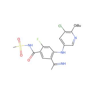 CC(=N)c1cc(C(=O)NS(C)(=O)=O)c(F)cc1Nc1cnc(OCC(C)C)c(Cl)c1